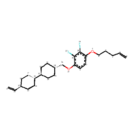 C=CCCCOc1ccc(OC[C@H]2CC[C@H]([C@H]3CC[C@H](C=C)CC3)CC2)c(F)c1F